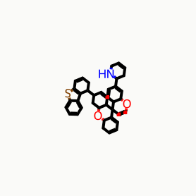 C1=CCC2OC3CC(C4CC=Cc5sc6ccccc6c54)C=CC3C3(C2=C1)c1ccccc1OC1C=C(C2CC=CCN2)C=CC13